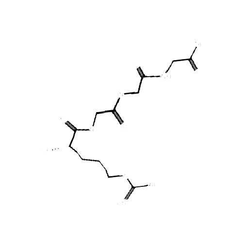 C[C@@H](CCCNC(=N)N)C(=O)NCC(=O)NCC(=O)NCC(N)=O